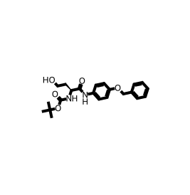 CC(C)(C)OC(=O)N[C@@H](CCO)C(=O)Nc1ccc(OCc2ccccc2)cc1